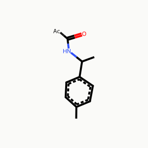 CC(=O)C(=O)NC(C)c1ccc(C)cc1